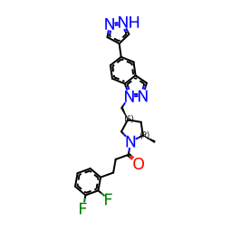 C[C@@H]1C[C@H](Cn2ncc3cc(-c4cn[nH]c4)ccc32)CN1C(=O)CCc1cccc(F)c1F